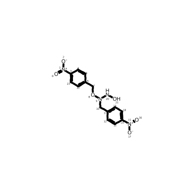 O=[N+]([O-])c1ccc(CON(Cc2ccc([N+](=O)[O-])cc2)NO)cc1